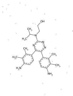 Cc1c(N)ccc(-c2nnc(N(CCO)C(C)C)nc2-c2ccc(N)c(C)c2C)c1C